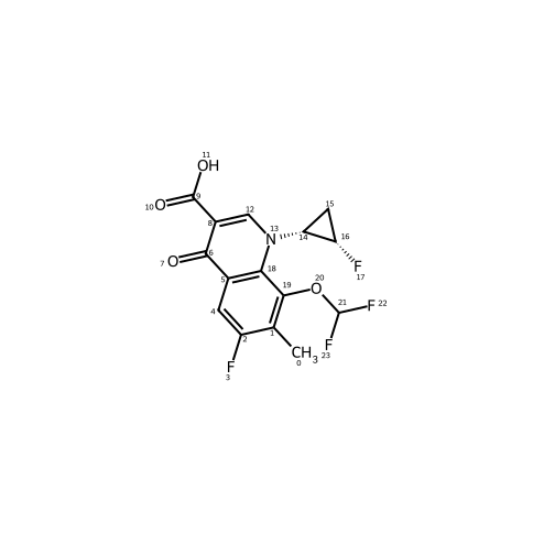 Cc1c(F)cc2c(=O)c(C(=O)O)cn([C@@H]3C[C@@H]3F)c2c1OC(F)F